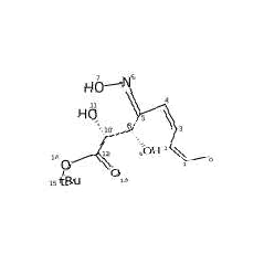 C\C=C/C=C\C(=N\O)[C@H](O)[C@@H](O)C(=O)OC(C)(C)C